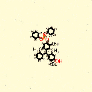 Cc1cc(O)c(C(C)(C)C)cc1C(c1ccccc1)c1cc(C(C)(C)C)c(OP(Oc2ccccc2)Oc2ccccc2)cc1C